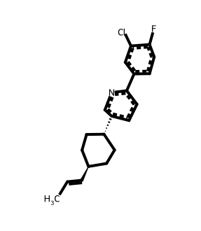 CC=C[C@H]1CC[C@H](c2ccc(-c3ccc(F)c(Cl)c3)nc2)CC1